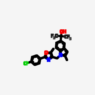 Cc1oc(-c2ccc(Cl)cc2)nc1Cn1c(C)cc2cc(C(O)(C(F)(F)F)C(F)(F)F)ccc21